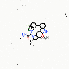 Cc1cc(C(=O)O)c(C=C2C(=O)Nc3cccc(-c4ccc(F)c(Cl)c4)c32)n1C(C(N)=O)N1CCCC1